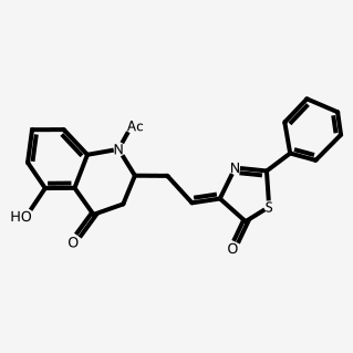 CC(=O)N1c2cccc(O)c2C(=O)CC1CC=C1N=C(c2ccccc2)SC1=O